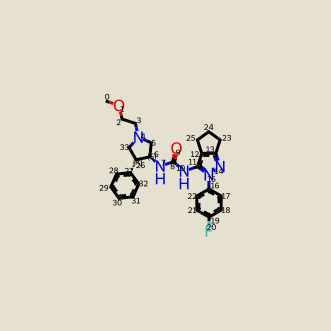 COCCN1C[C@@H](NC(=O)Nc2c3c(nn2-c2ccc(F)cc2)CCC3)[C@H](c2ccccc2)C1